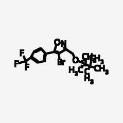 CC(C)(C)[Si](C)(C)OCc1noc(-c2ccc(C(F)(F)F)cc2)c1Br